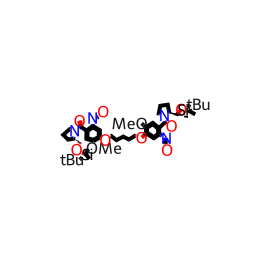 COc1cc(C(=O)N2CCC[C@H]2CO[Si](C)(C)C(C)(C)C)c(N=C=O)cc1OCCCCCOc1cc(N=C=O)c(C(=O)N2CCC[C@H]2CO[Si](C)(C)C(C)(C)C)cc1OC